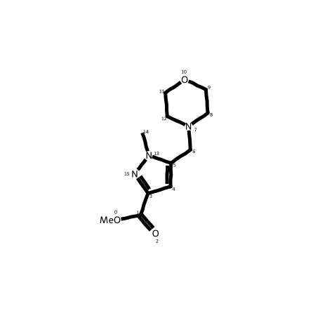 COC(=O)c1cc(CN2CCOCC2)n(C)n1